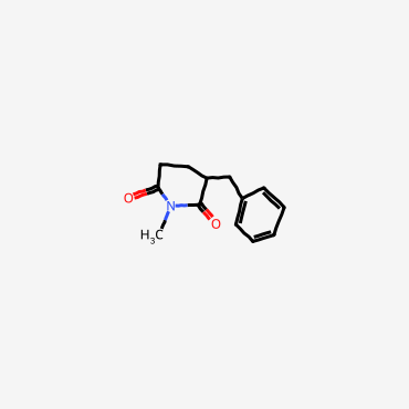 CN1C(=O)CCC(Cc2ccccc2)C1=O